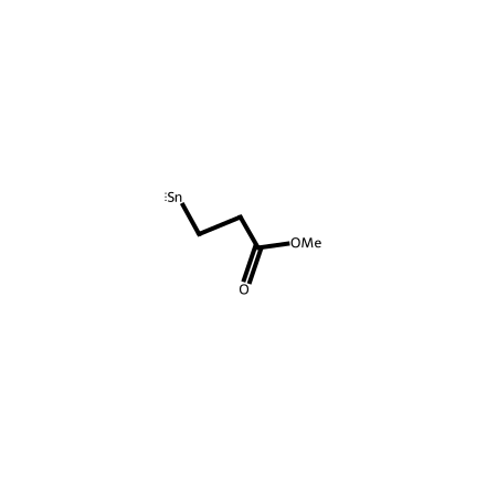 COC(=O)C[CH2][Sn]